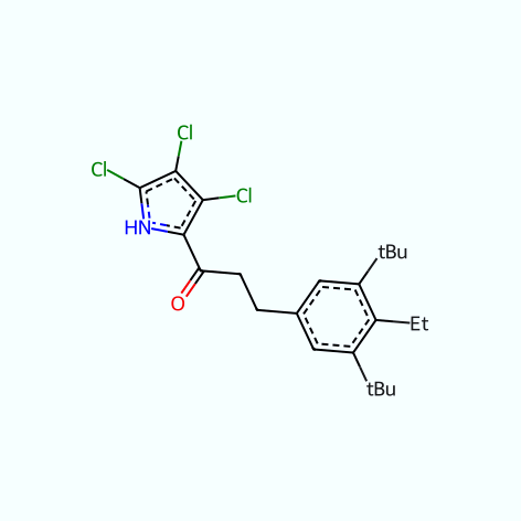 CCc1c(C(C)(C)C)cc(CCC(=O)c2[nH]c(Cl)c(Cl)c2Cl)cc1C(C)(C)C